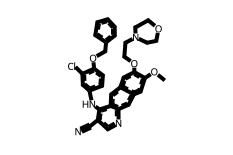 COc1cc2cc3ncc(C#N)c(Nc4ccc(OCc5ccccc5)c(Cl)c4)c3cc2cc1OCCN1CCOCC1